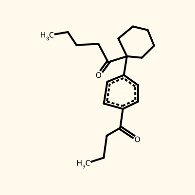 CCCCC(=O)C1(c2ccc(C(=O)CCC)cc2)CCCCC1